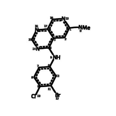 CNc1cc2c(Nc3ccc(Cl)c(Br)c3)ncnc2cn1